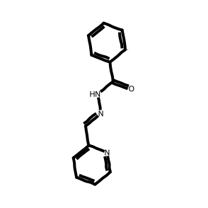 O=C(NN=Cc1ccccn1)c1[c]cccc1